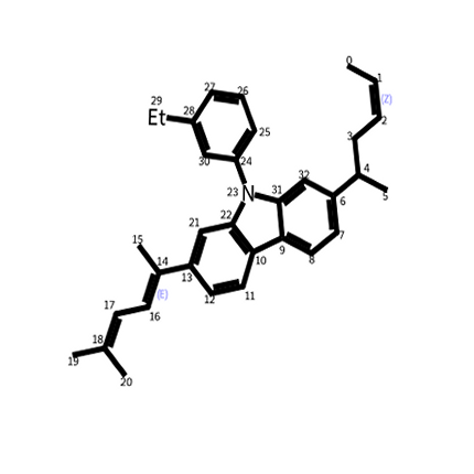 C/C=C\CC(C)c1ccc2c3ccc(/C(C)=C/C=C(C)C)cc3n(-c3cccc(CC)c3)c2c1